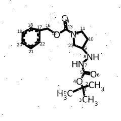 CC(C)(C)OC(=O)NNC1CCN(C(=O)OCc2ccccc2)C1